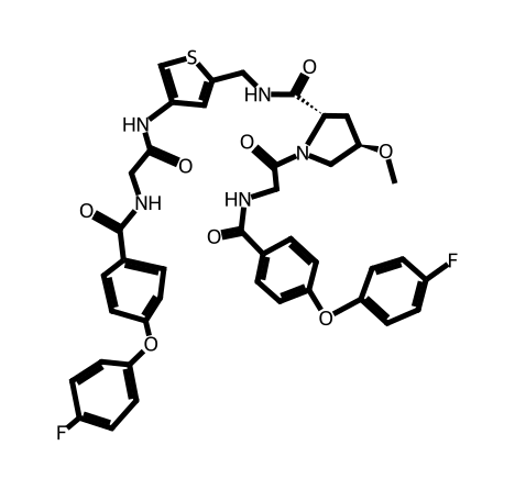 CO[C@@H]1C[C@@H](C(=O)NCc2cc(NC(=O)CNC(=O)c3ccc(Oc4ccc(F)cc4)cc3)cs2)N(C(=O)CNC(=O)c2ccc(Oc3ccc(F)cc3)cc2)C1